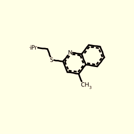 C[C](C)CSc1cc(C)c2ccccc2n1